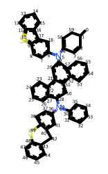 CC1C=CC(N(c2ccc3sc4ccccc4c3c2)c2cc3c4ccccc4c(N(c4ccccc4)c4ccc5c(c4)Cc4ccccc4S5)cc3c3ccccc23)=CC1